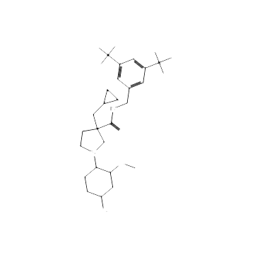 COC1CC(O)CCC1N1CCC(CC2CC2)(C(=O)NCc2cc(C(F)(F)F)cc(C(F)(F)F)c2)C1